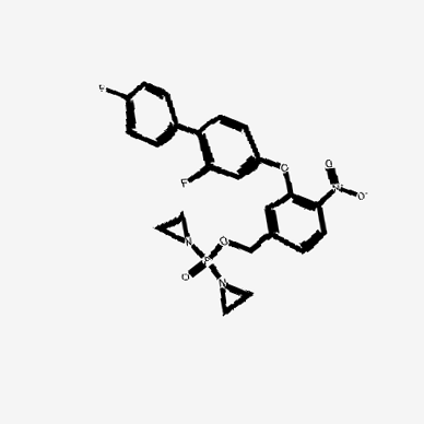 O=[N+]([O-])c1ccc(COP(=O)(N2CC2)N2CC2)cc1Oc1ccc(-c2ccc(F)cc2)c(F)c1